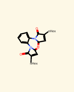 CCCCCCC1=CC(=O)N(c2ccccc2N2C(=O)C=C(CCCCCC)C2=O)C1=O